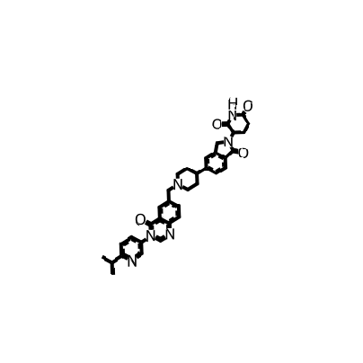 CC(C)c1ccc(-n2cnc3ccc(CN4CCC(c5ccc6c(c5)CN(C5CCC(=O)NC5=O)C6=O)CC4)cc3c2=O)cn1